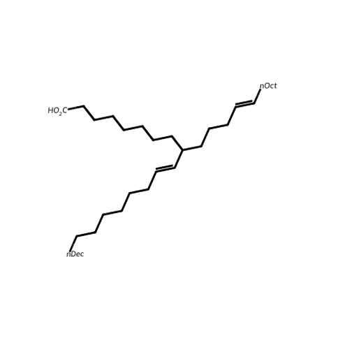 CCCCCCCCC=CCCCC(C=CCCCCCCCCCCCCCCCC)CCCCCCCC(=O)O